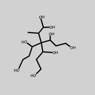 CC(C(O)O)C(C(O)CCO)(C(O)CCO)C(O)CCO